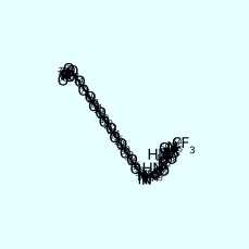 O=C(CCOCCOCCOCCOCCOCCOCCOCCOCCOCCOCCOCCOCCn1cc(-c2cccc(NC(=O)N3CCC4(CC3)NC(=O)N(c3nc(C(F)(F)F)cs3)C4=O)c2)nn1)ON1C(=O)CCC1=O